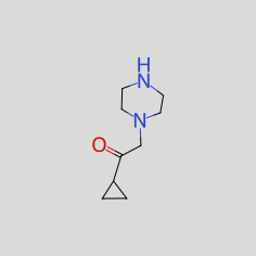 O=C(CN1CCNCC1)C1CC1